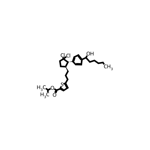 CCCCCC(O)c1ccc([C@@H]2[C@@H](CCCc3ccc(C(=O)OC(C)C)s3)CCC2(Cl)Cl)cc1